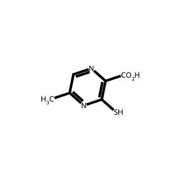 Cc1cnc(C(=O)O)c(S)n1